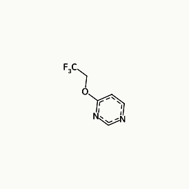 FC(F)(F)COc1ccncn1